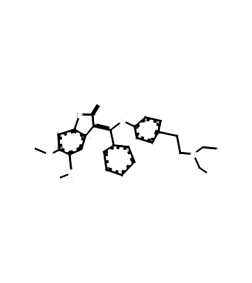 CCN(CC)CCc1ccc(N/C(=C2\C(=O)Nc3cc(OC)c(OC)cc32)c2ccccc2)cc1